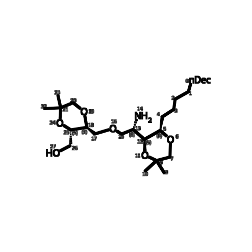 CCCCCCCCCCCCCC[C@H]1OCC(C)(C)O[C@H]1[C@@H](N)COC[C@@H]1OCC(C)(C)O[C@H]1CO